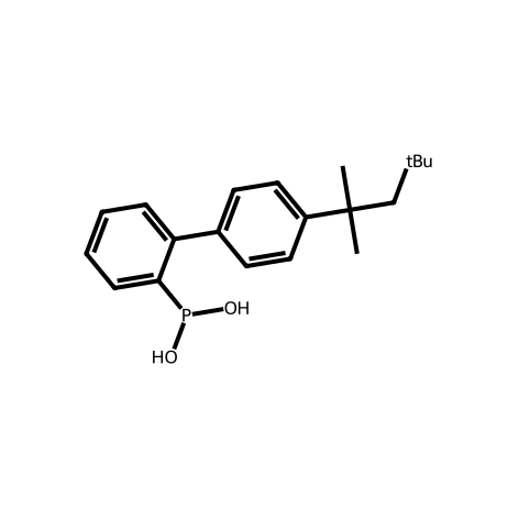 CC(C)(C)CC(C)(C)c1ccc(-c2ccccc2P(O)O)cc1